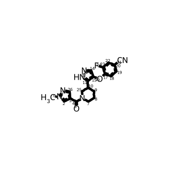 Cn1cc(C(=O)N2CCCC(c3[nH]ncc3Oc3ccc(C#N)cc3F)C2)cn1